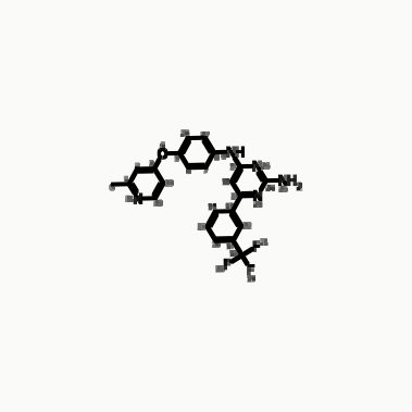 Cc1cc(Oc2ccc(Nc3cc(-c4cccc(C(F)(F)F)c4)nc(N)n3)cc2)ccn1